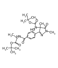 CC(NC(=O)c1ccc(C2=NN(C)C(=O)C2(C)N(O)C(=O)OC(C)(C)C)cc1)C(=O)OC(C)(C)C